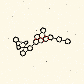 c1ccc(-c2ccc(-c3ccc(N(c4ccc5cc(-c6ccc7c(c6)C6(c8ccccc8-7)c7ccccc7-n7c8ccccc8c8cccc6c87)ccc5c4)c4ccccc4-c4ccccc4-c4ccccc4)cc3)cc2)cc1